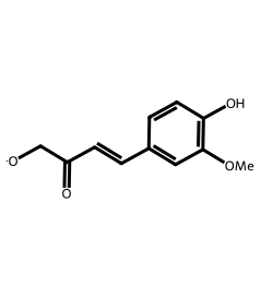 COc1cc(/C=C/C(=O)C[O])ccc1O